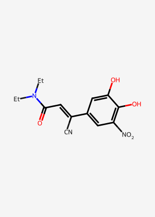 CCN(CC)C(=O)/C=C(\C#N)c1cc(O)c(O)c([N+](=O)[O-])c1